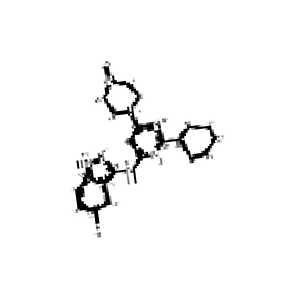 CN1CCN(c2cc(Nc3n[nH]c4ccc(F)cc34)nc(C3CCCCC3)n2)CC1